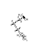 C.C#CC.CNC.F[B-](F)(F)F.F[B-](F)(F)F.F[B-](F)(F)F